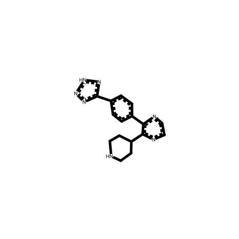 c1cnc(C2CCNCC2)c(-c2ccc(-c3nn[nH]n3)cc2)n1